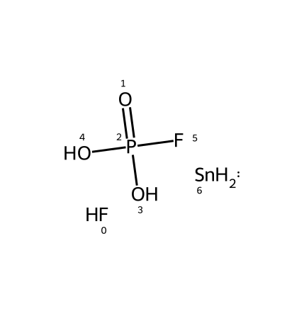 F.O=P(O)(O)F.[SnH2]